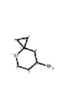 NC1CCOC2(CC2)C1